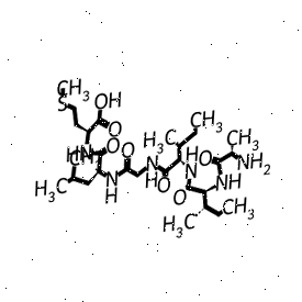 CC[C@H](C)[C@H](NC(=O)[C@H](C)N)C(=O)N[C@H](C(=O)NCC(=O)N[C@@H](CC(C)C)C(=O)N[C@@H](CCSC)C(=O)O)[C@@H](C)CC